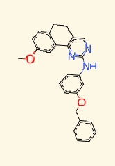 COc1ccc2c(c1)-c1nc(Nc3cccc(OCc4ccccc4)c3)ncc1CC2